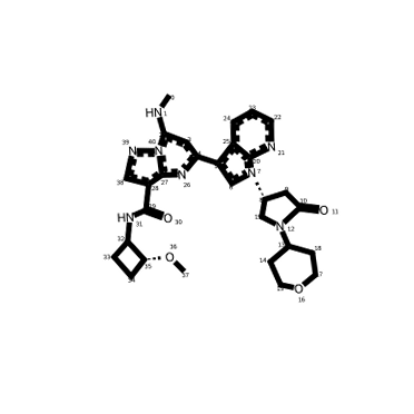 CNc1cc(-c2cn([C@@H]3CC(=O)N(C4CCOCC4)C3)c3ncccc23)nc2c(C(=O)NC3CC[C@H]3OC)cnn12